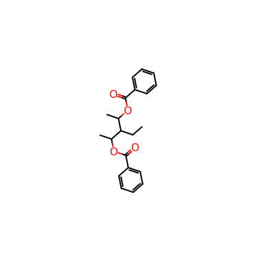 CCC(C(C)OC(=O)c1ccccc1)C(C)OC(=O)c1ccccc1